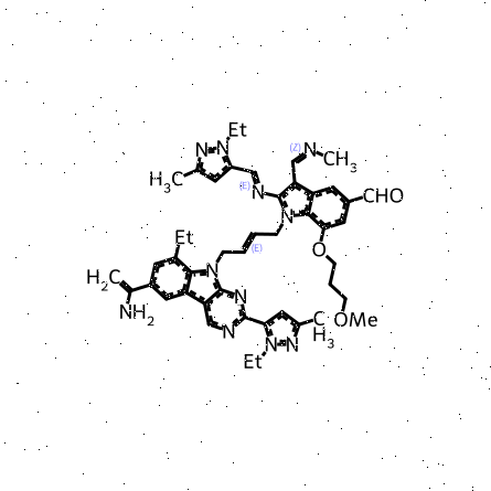 C=C(N)c1cc(CC)c2c(c1)c1cnc(-c3cc(C)nn3CC)nc1n2C/C=C/Cn1c(/N=C/c2cc(C)nn2CC)c(/C=N\C)c2cc(C=O)cc(OCCCOC)c21